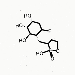 O=P1(O)OCCC1C[C@H]1C(F)C[C@@H](O)[C@@H](O)[C@@H]1O